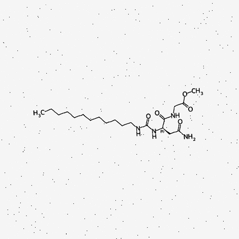 CCCCCCCCCCCCNC(=O)N[C@H](CC(N)=O)C(=O)NCC(=O)OC